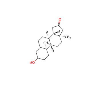 C[C@]12CC[C@H]3[C@@H](CCC4CC(O)CC[C@@]43C)[C@@H]1CC(=O)C2